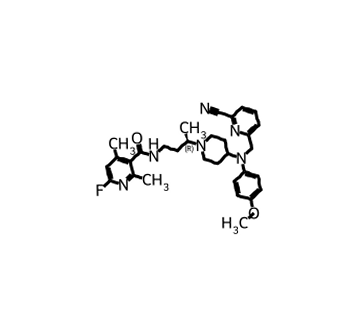 COc1ccc(N(Cc2cccc(C#N)n2)C2CCN([C@H](C)CCNC(=O)c3c(C)cc(F)nc3C)CC2)cc1